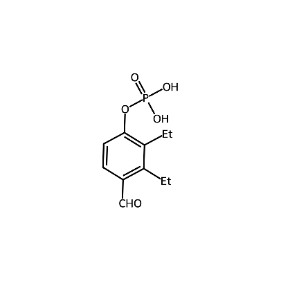 CCc1c(C=O)ccc(OP(=O)(O)O)c1CC